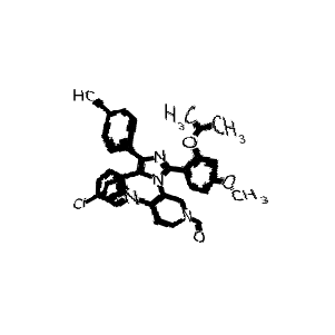 C#Cc1ccc(C2N=C(c3ccc(OC)cc3OC(C)C)N(C3CN(C=O)CCC3N3CCCC3)C2c2ccc(Cl)cc2)cc1